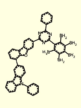 Bc1c(B)c(B)c(-c2nc(-c3ccccc3)nc(-c3ccc4c(c3)oc3c(-c5ccc6c(c5)c5ccccc5n6-c5ccccc5)cccc34)n2)c(B)c1B